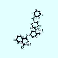 O=c1[nH]nc(Cc2ccc(F)c([PH]3(O)CCN(Cc4ccccc4)CC3)c2)c2ccccc12